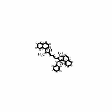 CN1/C(=C/C=C/C2=[N+](C)c3ccc4ccccc4c3C2(C)Cc2ccccc2)Oc2ccc3ccccc3c21